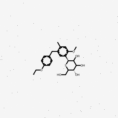 CCOc1ccc(Cc2cc([C@@H]3SC(CO)[C@@H](O)C(O)C3O)c(OC)cc2C)cc1